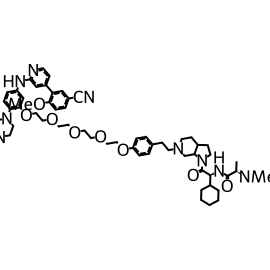 CN[C@@H](C)C(=O)N[C@H](C(=O)N1CCC2CCN(CCc3ccc(OCCOCCOCCOCCOc4cc(Nc5cc(-c6cc(C#N)ccc6OC)ccn5)ccc4N4CCN(C)CC4)cc3)CC21)C1CCCCC1